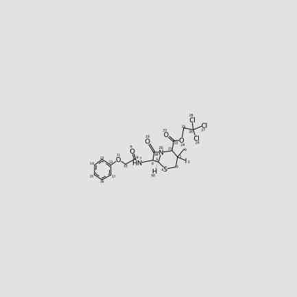 CC1(I)CS[C@H]2C(NC(=O)COc3ccccc3)C(=O)N2C1C(=O)OCC(Cl)(Cl)Cl